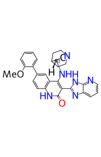 COc1ccccc1-c1ccc2[nH]c(=O)c(-c3nc4cccnc4[nH]3)c(N[C@H]3CN4CCC3CC4)c2c1